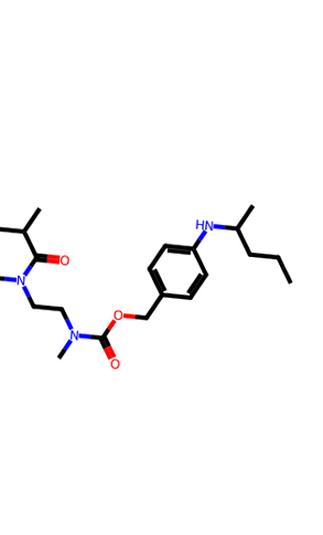 CCCC(C)Nc1ccc(COC(=O)N(C)CCN(C)C(=O)C(C)C)cc1